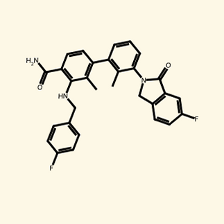 Cc1c(-c2ccc(C(N)=O)c(NCc3ccc(F)cc3)c2C)cccc1N1Cc2ccc(F)cc2C1=O